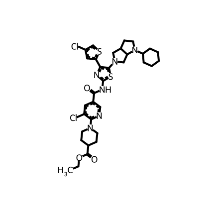 CCOC(=O)C1CCN(c2ncc(C(=O)Nc3nc(-c4cc(Cl)cs4)c(N4CC5CCN(C6CCCCC6)C5C4)s3)cc2Cl)CC1